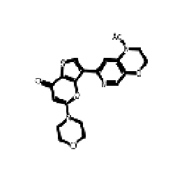 CC(=O)N1CCOc2cnc(-c3csc4c(=O)cc(N5CCOCC5)oc34)cc21